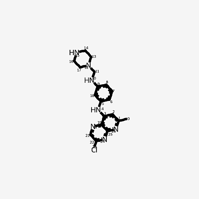 Cc1cc(Nc2cccc(NCN3CCNCC3)c2)c2ncc(Cl)nc2n1